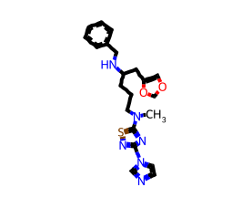 CN(CCCC(CC1=COCO1)NCc1ccccc1)c1nc(-n2ccnc2)ns1